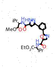 CCOC(=O)[C@@H](NC(=O)c1cnc(-c2cccc(-c3cc(C(=O)N[C@@H](C(=O)OC)C(C)C)[nH]n3)c2)o1)C(C)C